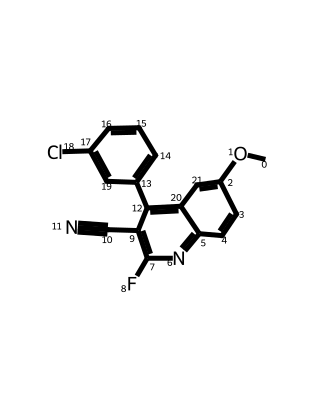 COc1ccc2nc(F)c(C#N)c(-c3cccc(Cl)c3)c2c1